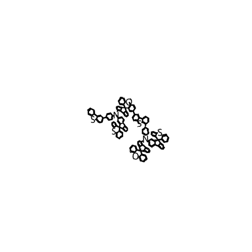 c1ccc2c(c1)Oc1ccccc1C21c2ccccc2-c2c(N(c3ccc(-c4cccc5c4sc4ccc(-c6ccc7c(c6)C6(c8ccccc8O7)c7ccccc7-c7c(N(c8ccc(-c9ccc%10sc%11ccccc%11c%10c9)cc8)c8ccc9c(c8)C8(c%10ccccc%10Sc%10ccccc%108)c8ccccc8-9)cccc76)cc45)cc3)c3ccc4c(c3)C3(c5ccccc5Sc5ccccc53)c3ccccc3-4)cccc21